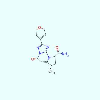 CC1CC(C(N)=O)n2c1cc(=O)n1nc(C3=CCOCC3)nc21